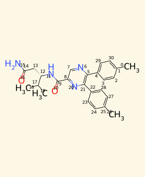 Cc1ccc(-c2ncc(C(=O)N[C@@H](CC(N)=O)C(C)C)nc2-c2ccc(C)cc2)cc1